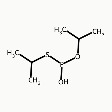 CC(C)OP(O)SC(C)C